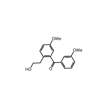 COc1cccc(C(=O)c2cc(OC)ccc2CCO)c1